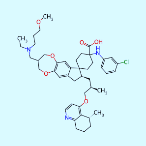 CCN(CCCOC)CC1COc2cc3c(cc2OC1)C1(CCC(Nc2cccc(Cl)c2)(C(=O)O)CC1)[C@@H](C[C@@H](C)COc1ccnc2c1[C@H](C)CCC2)C3